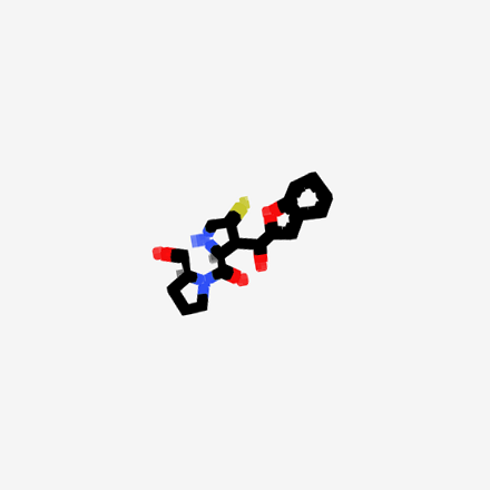 O=C[C@@H]1CCCN1C(=O)[C@H]1NCC(=S)C1C(=O)c1cc2ccccc2o1